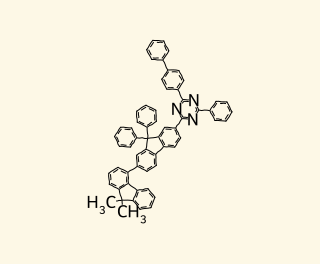 CC1(C)c2ccccc2-c2c(-c3ccc4c(c3)C(c3ccccc3)(c3ccccc3)c3cc(-c5nc(-c6ccccc6)nc(-c6ccc(-c7ccccc7)cc6)n5)ccc3-4)cccc21